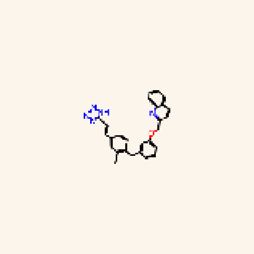 Cc1cc(C=Cc2nnn[nH]2)ccc1Cc1cccc(OCc2ccc3ccccc3n2)c1